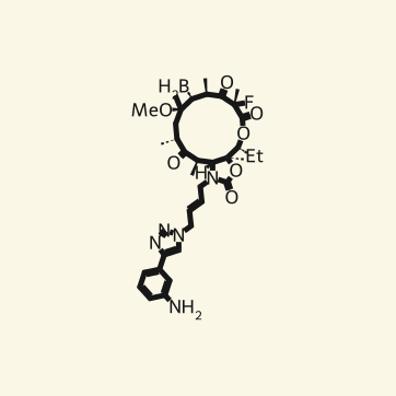 B[C@@H]1[C@@H](C)C(=O)[C@](C)(F)C(=O)O[C@H](CC)[C@@]2(C)OC(=O)N(C/C=C/Cn3cc(-c4cccc(N)c4)nn3)[C@@H]2[C@@H](C)C(=O)[C@H](C)C[C@@]1(C)OC